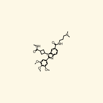 CNC(=O)C1CC(n2c(-c3cc(OC)c(OC)c(OC)c3)nc3ccc(C(=O)NCCCN(C)C)cc32)C1